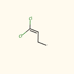 [CH2]CC=C(Cl)Cl